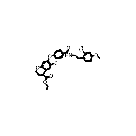 CCOC(=O)C1CCOc2cc(Oc3ccc(C(=O)NCCc4ccc(OC)cc4OC)cc3)c(Cl)cc21